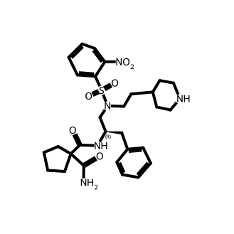 NC(=O)C1(C(=O)N[C@H](Cc2ccccc2)CN(CCC2CCNCC2)S(=O)(=O)c2ccccc2[N+](=O)[O-])CCCC1